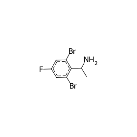 CC(N)c1c(Br)cc(F)cc1Br